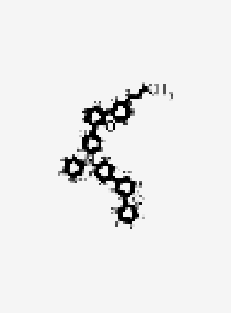 CCCCc1ccc2oc3c(-c4ccc(N(c5ccccc5)c5ccc(-c6ccc7oc8ccccc8c7c6)cc5)cc4)cccc3c2c1